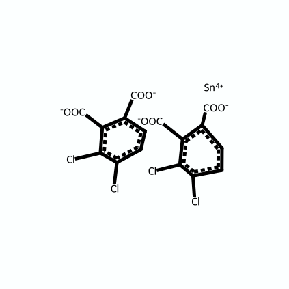 O=C([O-])c1ccc(Cl)c(Cl)c1C(=O)[O-].O=C([O-])c1ccc(Cl)c(Cl)c1C(=O)[O-].[Sn+4]